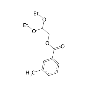 CCOC(COC(=O)c1cccc(C)c1)OCC